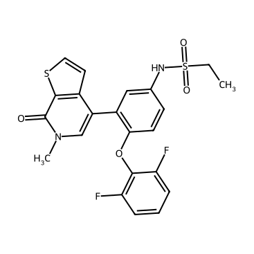 CCS(=O)(=O)Nc1ccc(Oc2c(F)cccc2F)c(-c2cn(C)c(=O)c3sccc23)c1